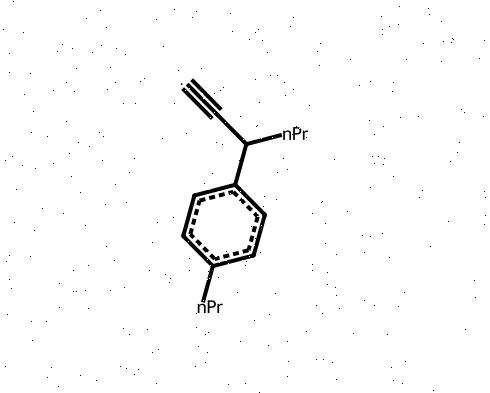 [C]#CC(CCC)c1ccc(CCC)cc1